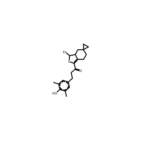 CCC1SC(C(=O)CCc2cc(C)c(O)c(C)c2)=C2CCC3(CC3)CC21